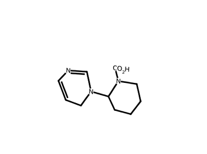 O=C(O)N1CCCCC1N1C=NC=CC1